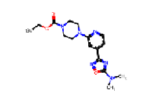 CN(C)c1nc(-c2ccnc(N3CCN(C(=O)OCC(C)(C)C)CC3)c2)no1